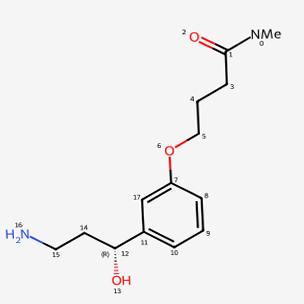 CNC(=O)CCCOc1cccc([C@H](O)CCN)c1